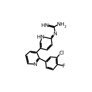 N=C(N)/N=c1/ccc(-c2cccnc2-c2ccc(F)c(Cl)c2)c[nH]1